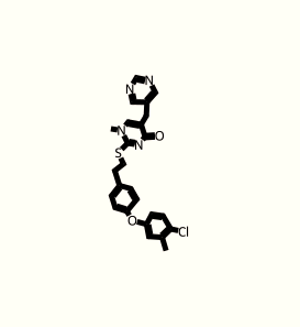 Cc1cc(Oc2ccc(CCSc3nc(=O)c(Cc4cncnc4)cn3C)cc2)ccc1Cl